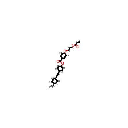 C=CC(=O)OCCCOc1ccc(C(=O)Oc2ccc(C#Cc3ccc(CCC)cc3)cc2)cc1